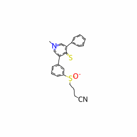 Cn1cc(-c2ccccc2)c(=S)c(-c2cccc([S+]([O-])CCCC#N)c2)c1